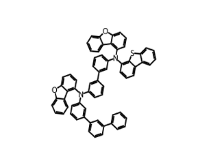 c1ccc(-c2cccc(-c3cccc(N(c4cccc(-c5cccc(N(c6cccc7c6sc6ccccc67)c6cccc7oc8ccccc8c67)c5)c4)c4cccc5oc6ccccc6c45)c3)c2)cc1